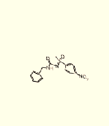 CS(=O)(=NC(=O)NCc1ccccc1)c1ccc([N+](=O)[O-])cc1